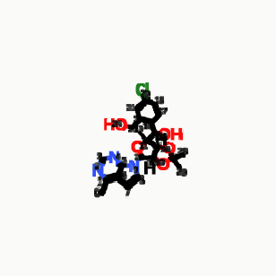 Cc1ncnc2c1ccn2[C@@H]1O[C@](C)([C@H](O)c2ccc(Cl)cc2CO)[C@H]2OC(C)(C)O[C@@H]12